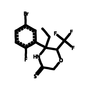 CCC1(c2cc(Br)ccc2F)NC(=S)COC1C(F)(F)F